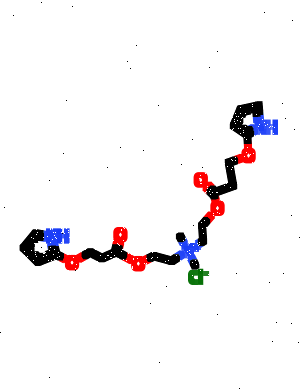 C[N+](C)(CCOC(=O)CCOc1ccc[nH]1)CCOC(=O)CCOc1ccc[nH]1.[Cl-]